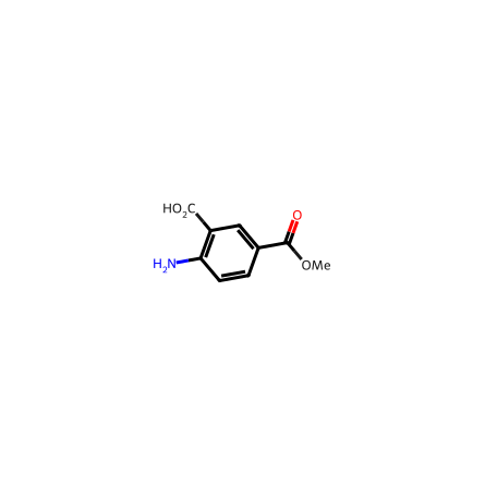 COC(=O)c1ccc(N)c(C(=O)O)c1